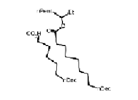 CCCCCCCCCCCCCCCC(=O)O.CCCCCCCCCCCCCCCCCC(=O)OC(CC)CCCCC